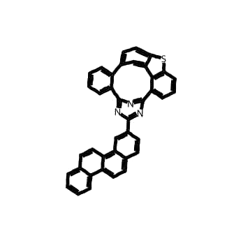 c1ccc2c(c1)ccc1c3cc(-c4nc5nc(n4)c4cccc6sc7ccc(cc7c64)c4ccccc54)ccc3ccc21